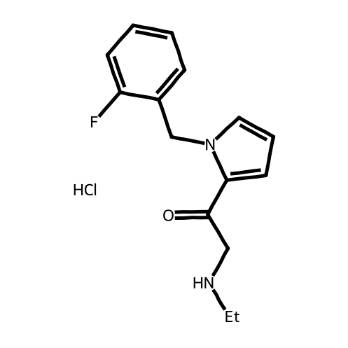 CCNCC(=O)c1cccn1Cc1ccccc1F.Cl